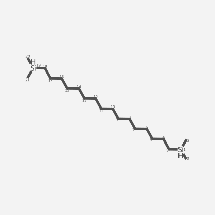 C[SiH](C)CCCCCCCCCCCCCCCC[SiH](C)C